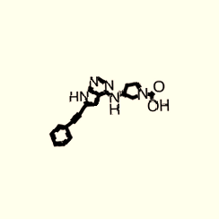 O=C(O)N1CC[C@@H](Nc2ncnc3[nH]c(C#Cc4ccccc4)cc23)C1